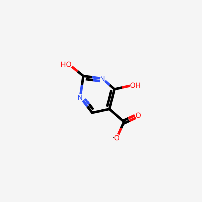 [O]C(=O)c1cnc(O)nc1O